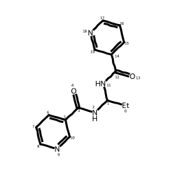 CCC(NC(=O)c1cccnc1)NC(=O)c1cccnc1